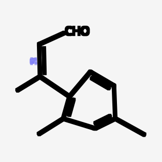 C/C(=C/C=O)c1ccc(C)cc1C